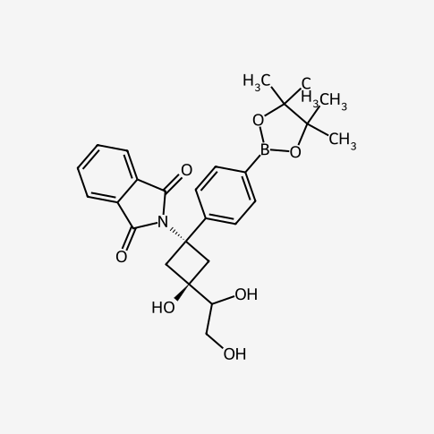 CC1(C)OB(c2ccc([C@]3(N4C(=O)c5ccccc5C4=O)C[C@@](O)(C(O)CO)C3)cc2)OC1(C)C